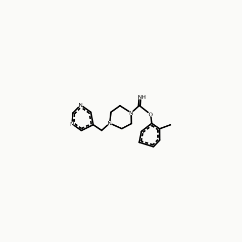 Cc1ccccc1OC(=N)N1CCN(Cc2cncnc2)CC1